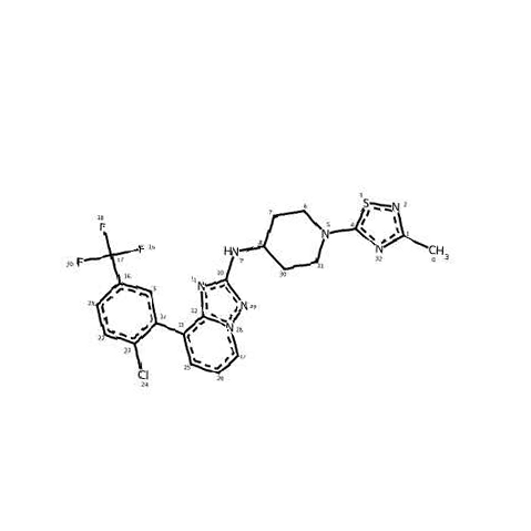 Cc1nsc(N2CCC(Nc3nc4c(-c5cc(C(F)(F)F)ccc5Cl)cccn4n3)CC2)n1